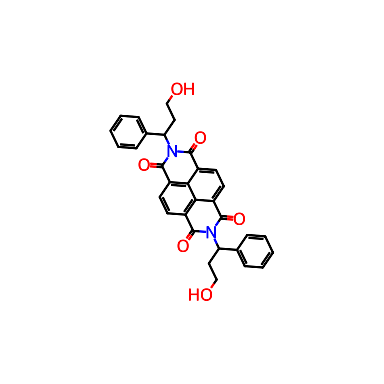 O=C1c2ccc3c4c(ccc(c24)C(=O)N1C(CCO)c1ccccc1)C(=O)N(C(CCO)c1ccccc1)C3=O